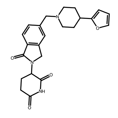 O=C1CCC(N2Cc3cc(CN4CCC(c5ccco5)CC4)ccc3C2=O)C(=O)N1